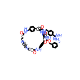 N=C(N)c1ccc(CNC(=O)[C@@H]2Cc3ccc(cc3)NC(=O)CCN3CCN(CCC(=O)Nc4ccc(cc4)C[C@@H](NC(=O)OCc4ccccc4)C(=O)N2)CC3)cc1